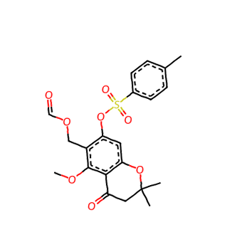 COc1c(COC=O)c(OS(=O)(=O)c2ccc(C)cc2)cc2c1C(=O)CC(C)(C)O2